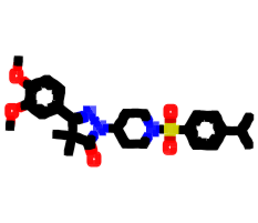 COc1ccc(C2=NN(C3CCN(S(=O)(=O)c4ccc(C(C)C)cc4)CC3)C(=O)C2(C)C)cc1OC